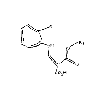 CCC(C)OC(=O)C(=CNc1ccccc1F)C(=O)O